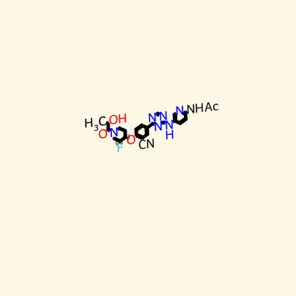 CC(=O)Nc1ccc(Nc2ncnc(-c3ccc(O[C@H]4CCN(C(=O)C(C)O)C[C@H]4F)c(C#N)c3)n2)cn1